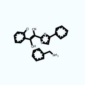 N#CC(=C(O)c1ccccc1Cl)c1nc(-c2ccccc2)cs1.NCc1ccccc1